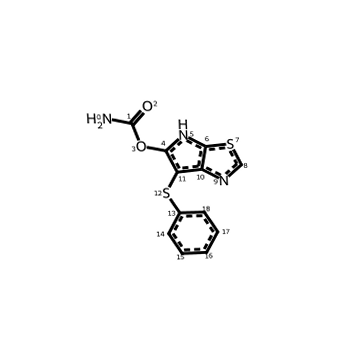 NC(=O)Oc1[nH]c2scnc2c1Sc1ccccc1